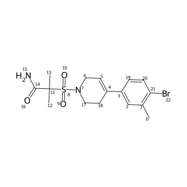 Cc1cc(C2=CCN(S(=O)(=O)C(C)(C)C(N)=O)CC2)ccc1Br